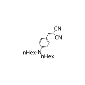 CCCCCCN(CCCCCC)c1ccc(C=C(C#N)C#N)cc1